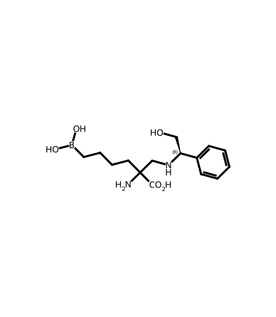 NC(CCCCB(O)O)(CN[C@@H](CO)c1ccccc1)C(=O)O